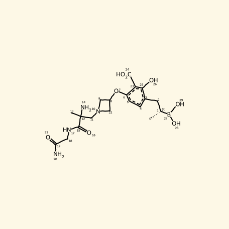 C[C@H](Cc1ccc(OC2CN(CC(C)(N)C(=O)NCC(N)=O)C2)c(C(=O)O)c1O)B(O)O